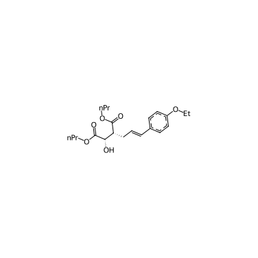 CCCOC(=O)[C@@H](O)[C@@H](C/C=C/c1ccc(OCC)cc1)C(=O)OCCC